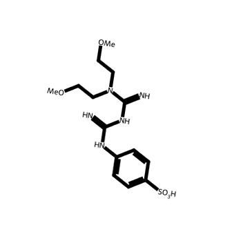 COCCN(CCOC)C(=N)NC(=N)Nc1ccc(S(=O)(=O)O)cc1